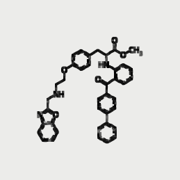 COC(=O)C(Cc1ccc(OCCNCc2nc3ccccc3o2)cc1)Nc1ccccc1C(=O)c1ccc(-c2ccccc2)cc1